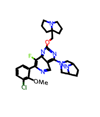 COc1c(Cl)cccc1-c1ncc2c(N3CC4CCC(C3)N4)nc(OCC34CCCN3CCC4)nc2c1F